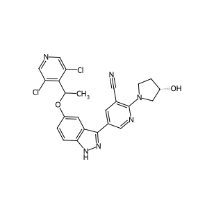 CC(Oc1ccc2[nH]nc(-c3cnc(N4CC[C@H](O)C4)c(C#N)c3)c2c1)c1c(Cl)cncc1Cl